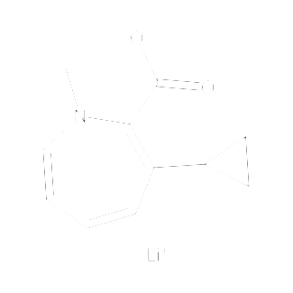 CN1C=CC=CC(C2CC2)=C1C(=O)[O-].[Li+]